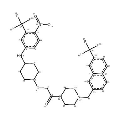 O=C(COC1CCC(Nc2ccc([N+](=O)[O-])c(C(F)(F)F)c2)CC1)N1CCN(Cc2ccc3ccc(C(F)(F)F)cc3n2)CC1